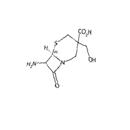 NC1C(=O)N2CC(CO)(C(=O)O)CS[C@H]12